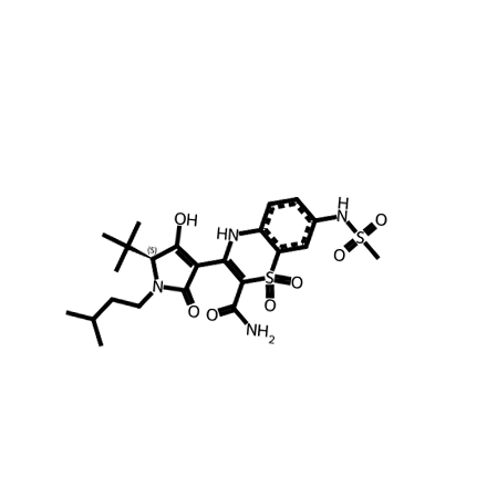 CC(C)CCN1C(=O)C(C2=C(C(N)=O)S(=O)(=O)c3cc(NS(C)(=O)=O)ccc3N2)=C(O)[C@@H]1C(C)(C)C